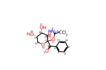 N=C(O[C@@]1(C(=O)c2ccccc2)OC[C@H](O)[C@H](O)[C@H]1O)C(Cl)(Cl)Cl